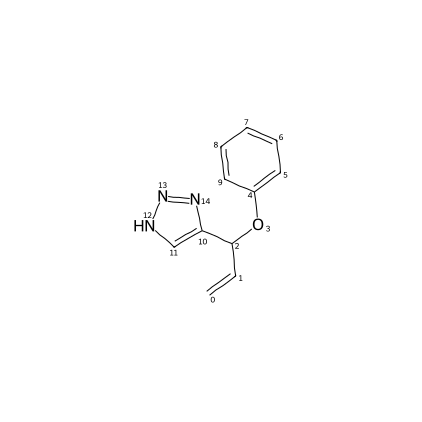 C=CC(Oc1ccccc1)c1c[nH]nn1